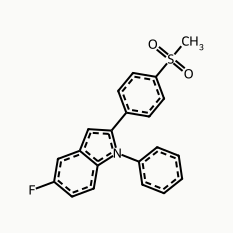 CS(=O)(=O)c1ccc(-c2cc3cc(F)ccc3n2-c2ccccc2)cc1